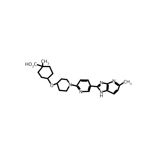 Cc1ccc2[nH]c(-c3ccc(N4CCC(OC5CCC(C)(C(=O)O)CC5)CC4)nc3)nc2n1